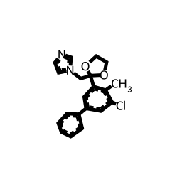 Cc1c(Cl)cc(-c2ccccc2)cc1C1(Cn2ccnc2)OCCO1